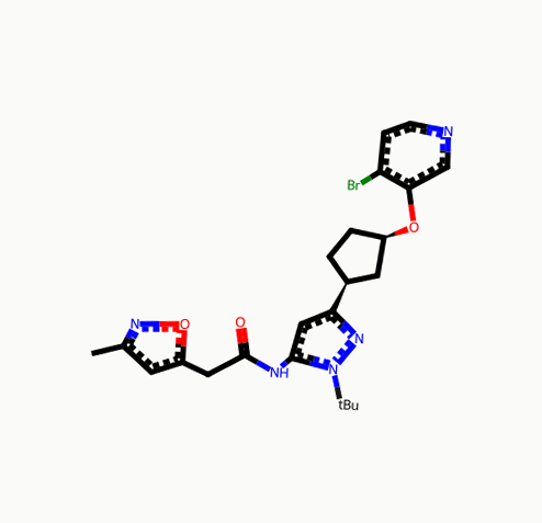 Cc1cc(CC(=O)Nc2cc([C@H]3CC[C@@H](Oc4cnccc4Br)C3)nn2C(C)(C)C)on1